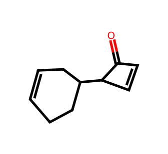 O=C1C=CC1C1CC=CCC1